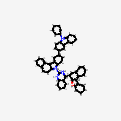 c1ccc(-n2c3ccccc3c3cc(-c4ccc5c(c4)c4c6ccccc6ccc4n5-c4nc(-c5cc6ccccc6c6c5oc5ccccc56)c5ccccc5n4)ccc32)cc1